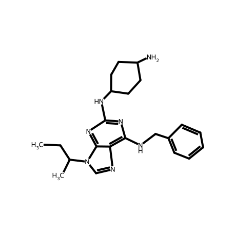 CCC(C)n1cnc2c(NCc3ccccc3)nc(NC3CCC(N)CC3)nc21